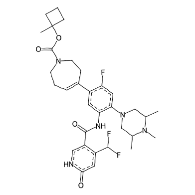 CC1CN(c2cc(F)c(C3=CCCN(C(=O)OC4(C)CCC4)CC3)cc2NC(=O)c2c[nH]c(=O)cc2C(F)F)CC(C)N1C